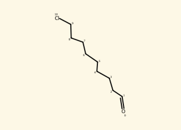 O=CCCCCCCCCCl